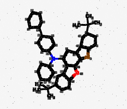 CC(C)(C)c1ccc2sc3c(cc(N(c4ccccc4)c4ccc(-c5ccccc5)cc4)c4c5cc(C(C)(C)C)ccc5oc34)c2c1